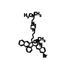 COc1nc2ccc(Br)cc2cc1C(c1ccccc1)C(O)(CCCCN1CC2CC1CN2CCN(C)C)c1ccc2ccccc2c1